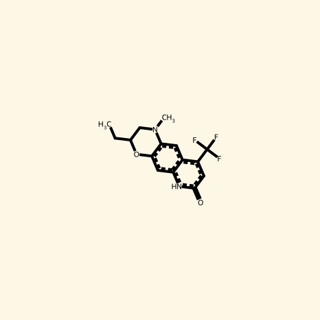 CCC1CN(C)c2cc3c(C(F)(F)F)cc(=O)[nH]c3cc2O1